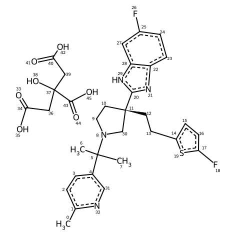 Cc1ccc(C(C)(C)N2CC[C@](CCc3ccc(F)s3)(c3nc4ccc(F)cc4[nH]3)C2)cn1.O=C(O)CC(O)(CC(=O)O)C(=O)O